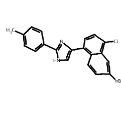 CCCCc1ccc2c(-c3c[nH]c(-c4ccc(C)cc4)n3)ccc(Cl)c2c1